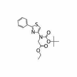 CCOC(=O)CN(C(=O)OC(C)(C)C)c1csc(-c2ccccc2)n1